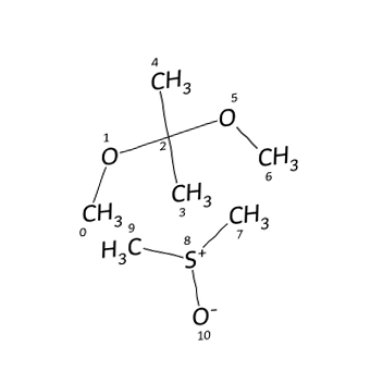 COC(C)(C)OC.C[S+](C)[O-]